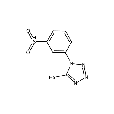 O=[SH](=O)c1cccc(-n2nnnc2S)c1